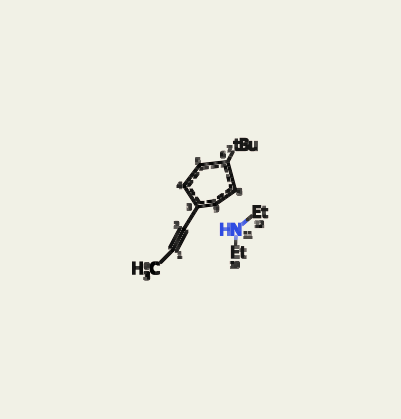 CC#Cc1ccc(C(C)(C)C)cc1.CCNCC